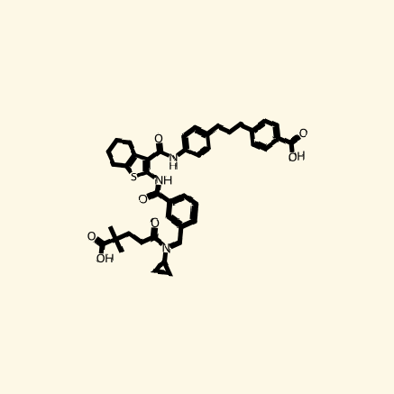 CC(C)(CCC(=O)N(Cc1cccc(C(=O)Nc2sc3c(c2C(=O)Nc2ccc(CCCc4ccc(C(=O)O)cc4)cc2)CCCC3)c1)C1CC1)C(=O)O